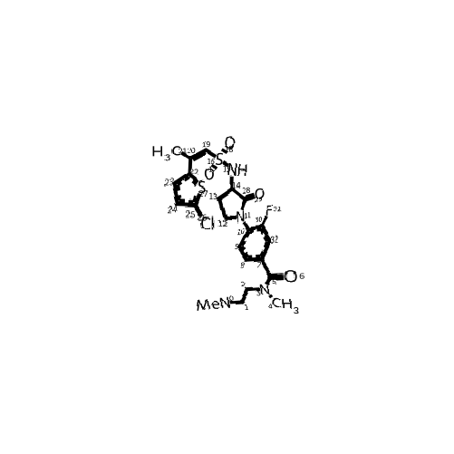 CNCCN(C)C(=O)c1ccc(N2CCC(NS(=O)(=O)C=C(C)c3ccc(Cl)s3)C2=O)c(F)c1